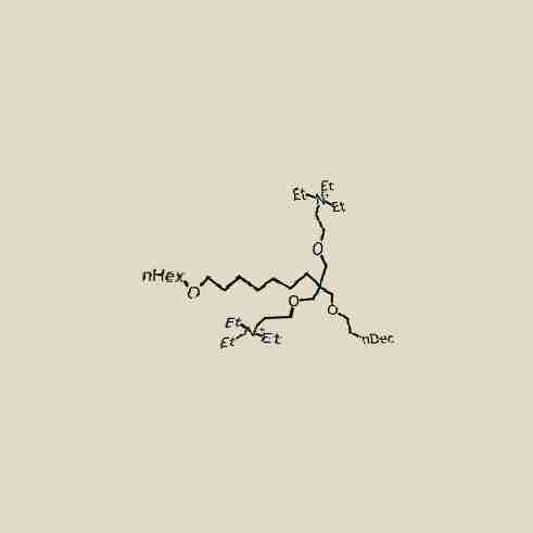 CCCCCCCCCCCCOCC(CCCCCCCOCCCCCC)(COCC[N+](CC)(CC)CC)COCC[N+](CC)(CC)CC